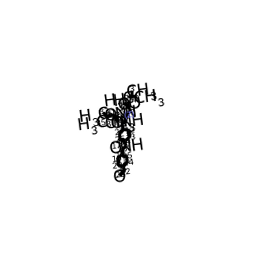 CC(C)(C)OC(=O)/N=C(/NCc1ccc(NC(=O)c2ccc(C=O)cc2)cc1)NC(=O)OC(C)(C)C